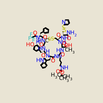 C[C@@H](O)[C@@H]1NC(=O)[C@H](CCCCNC(=O)OC(C)(C)C)NC(=O)[C@@H](Cc2c[nH]c3ccccc23)NC(=O)[C@H](Cc2ccc(O)cc2)NC(=O)[C@@H](NC(=O)[C@@H](Cc2ccccc2)NC(=O)C(F)(F)F)CSSC[C@@H](C(=O)N[C@H](CSSc2ccccn2)C(N)=O)NC1=O